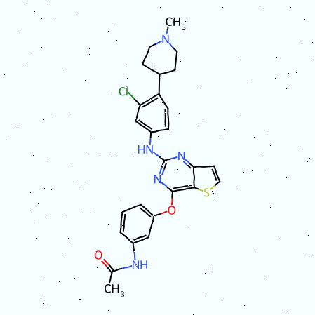 CC(=O)Nc1cccc(Oc2nc(Nc3ccc(C4CCN(C)CC4)c(Cl)c3)nc3ccsc23)c1